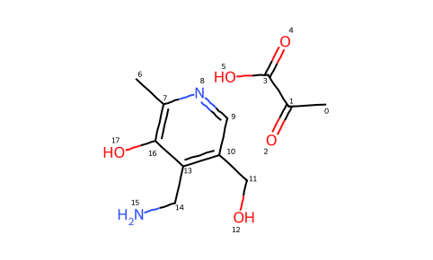 CC(=O)C(=O)O.Cc1ncc(CO)c(CN)c1O